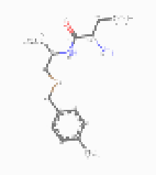 CCOC(=O)[C@H](CSCc1ccc([N+](=O)[O-])cc1)NC(=O)[C@@H](N)CC(=O)O